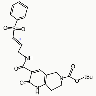 CC(C)(C)OC(=O)N1CCc2[nH]c(=O)c(C(=O)NC/C=C/S(=O)(=O)c3ccccc3)cc2C1